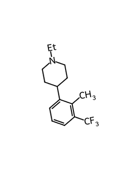 CCN1CCC(c2cccc(C(F)(F)F)c2C)CC1